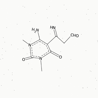 Cn1c(N)c(C(=N)CC=O)c(=O)n(C)c1=O